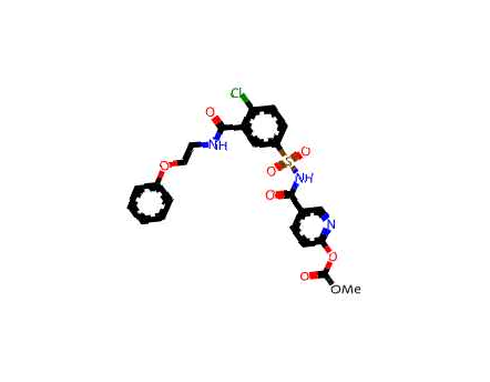 COC(=O)Oc1ccc(C(=O)NS(=O)(=O)c2ccc(Cl)c(C(=O)NCCOc3ccccc3)c2)cn1